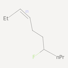 CC/C=C\CCC(F)CCC